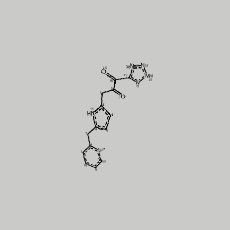 O=C(Cc1ccc(Cc2ccccn2)[nH]1)C(=O)c1nn[nH]n1